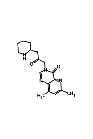 Cc1cc(C)c2ncn(CC(=O)C[C@@H]3CCCCN3)c(=O)c2n1